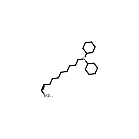 CCCCCCCC/C=C\CCCCCCCCN(C1CCCCC1)C1CCCCC1